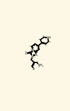 NC/C(=C\F)Cn1nc2cc(C3=CCNCC3)ccn2c1=O